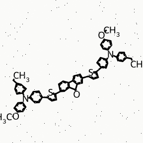 CCc1ccc(N(c2ccc(OC)cc2)c2ccc(-c3ccc(-c4ccc5c(c4)C(=O)c4cc(-c6ccc(-c7ccc(N(c8ccc(CC)cc8)c8ccc(OC)cc8)cc7)s6)ccc4-5)s3)cc2)cc1